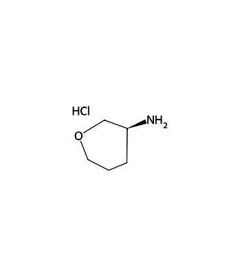 Cl.N[C@H]1CCCOC1